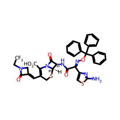 Nc1nc(C(=NOC(c2ccccc2)(c2ccccc2)c2ccccc2)C(=O)N[C@@H]2C(=O)N3C(C(=O)O)=C(C=C4CN(CC(F)(F)F)C4=O)CS[C@H]23)cs1